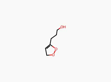 OCCCC1=CCOO1